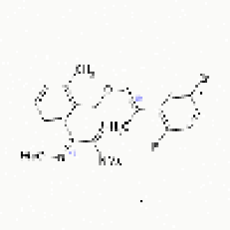 CNC(=O)/C(=N/OC)c1cccc(C)c1CO/N=C(\C)c1cc(Br)ccc1F